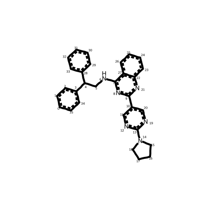 c1ccc(C(CNc2nc(-c3cnc(N4CCCC4)nc3)nc3ccccc23)c2ccccc2)cc1